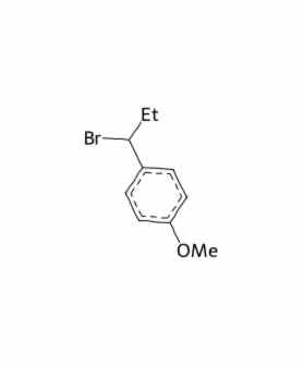 CCC(Br)c1ccc(OC)cc1